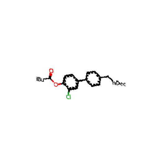 CCCCCCCCCCCc1ccc(-c2ccc(OC(=O)C(C)CC)c(Cl)c2)cc1